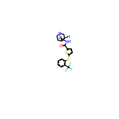 O=C(N[C@H]1CN2CCC1CC2)c1ccc(Sc2ccccc2C(F)(F)F)s1